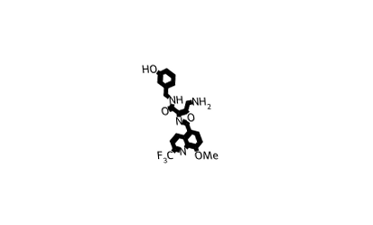 COc1ccc(-c2nc(C(=O)NCc3cccc(O)c3)c(CN)o2)c2ccc(C(F)(F)F)nc12